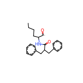 CCCCC([C]=O)NC(=O)C(Cc1ccccc1)Cc1ccccc1